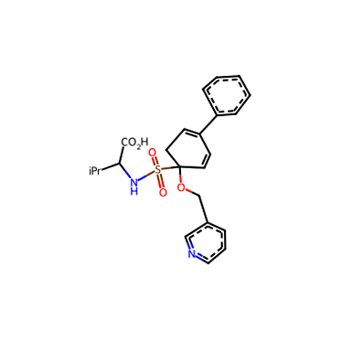 CC(C)C(NS(=O)(=O)C1(OCc2cccnc2)C=CC(c2ccccc2)=CC1)C(=O)O